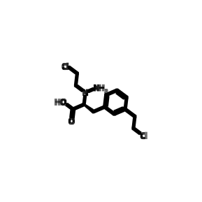 NN(CCCl)[C@@H](Cc1cccc(CCCl)c1)C(=O)O